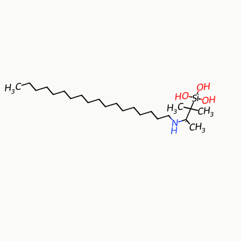 CCCCCCCCCCCCCCCCCCN[C](C)C(C)(C)[Si](O)(O)O